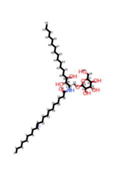 CCCCCCCC/C=C/CCCCCCCCCC(=O)N[C@@H](COC1OC(CO)C(O)C(O)C1O)[C@H](O)[C@H](O)CCCCCCCCCCCCCC